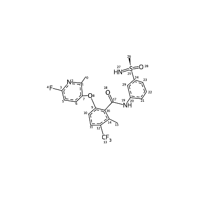 Cc1nc(F)ccc1Oc1ccc(C(F)(F)F)c(C)c1C(=O)Nc1cccc([S@](C)(=N)=O)c1